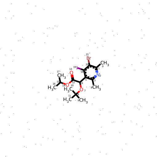 Cc1nc(C)c(C(OC(C)(C)C)C(=O)OC(C)C)c(I)c1Br